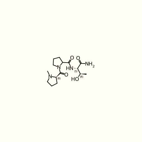 C[C@@H](O)[C@H](NC(=O)C1CCCN1C(=O)[C@H]1CCCN1C)C(N)=O